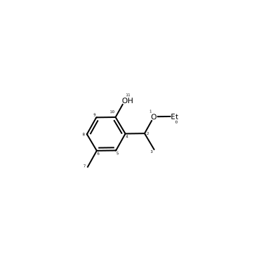 CCOC(C)c1cc(C)ccc1O